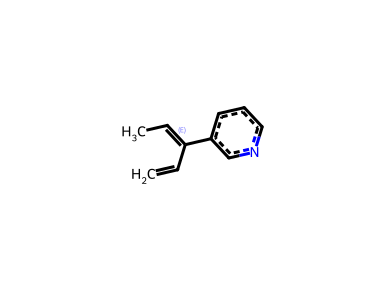 C=C/C(=C\C)c1cccnc1